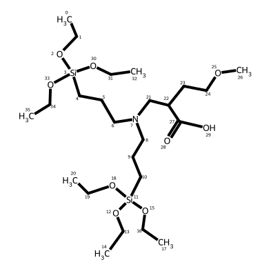 CCO[Si](CCCN(CCC[Si](OCC)(OCC)OCC)CC(CCOC)C(=O)O)(OCC)OCC